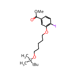 COC(=O)c1ccc(I)c(OCCCCCO[Si](C)(C)C(C)(C)C)c1